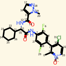 Cc1c(-c2cc(F)c(NC(=O)[C@@H](NC(=O)c3ccnn3C)C3CCCCC3)cc2F)c(Cl)cc[n+]1[O-]